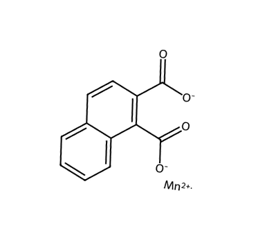 O=C([O-])c1ccc2ccccc2c1C(=O)[O-].[Mn+2]